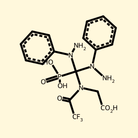 NN(c1ccccc1)C(N(CC(=O)O)C(=O)C(F)(F)F)(N(N)c1ccccc1)P(=O)(O)O